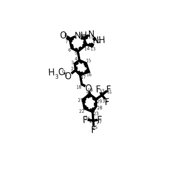 COc1cc(-c2cc(=O)[nH]c3n[nH]cc23)ccc1COc1ccc(C(F)(F)F)cc1C(F)(F)F